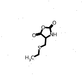 CCSCC1NC(=O)OC1=O